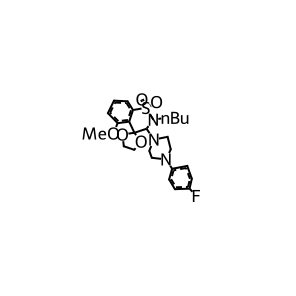 CCCCN1C(N2CCN(c3ccc(F)cc3)CC2)C2(OCCO2)c2c(OC)cccc2S1(=O)=O